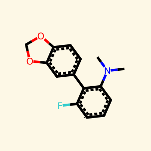 CN(C)c1cc[c]c(F)c1-c1ccc2c(c1)OCO2